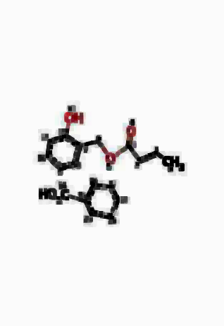 CC=CC(=O)OCc1ccccc1O.O=C(O)c1ccccc1